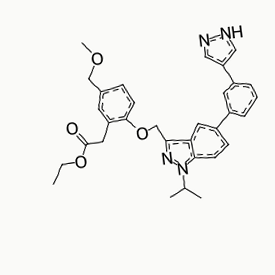 CCOC(=O)Cc1cc(COC)ccc1OCc1nn(C(C)C)c2ccc(-c3cccc(-c4cn[nH]c4)c3)cc12